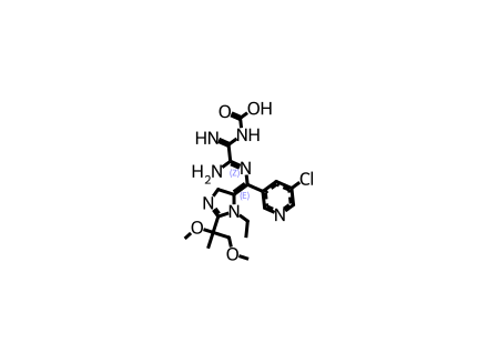 CCN1C(C(C)(COC)OC)=NC/C1=C(\N=C(/N)C(=N)NC(=O)O)c1cncc(Cl)c1